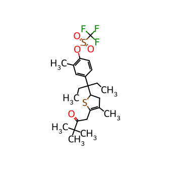 CCC(CC)(c1ccc(OS(=O)(=O)C(F)(F)F)c(C)c1)C1CC(C)=C(CC(=O)C(C)(C)C)S1